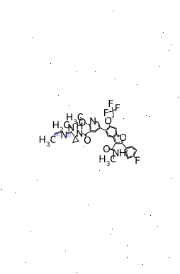 C=N/C(=N\C=C/C)C1(NC(=O)c2cc(-c3cc4c(C(=O)NC)c(-c5ccc(F)cc5)oc4cc3OCC(F)(F)F)cnc2OC)CC1